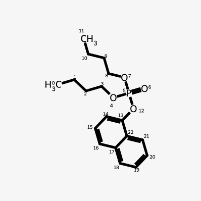 CCCCOP(=O)(OCCCC)Oc1cccc2ccccc12